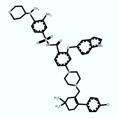 CN(c1ccc(S(=O)(=O)NC(=O)c2ccc(N3CCN(CC4=C(c5ccc(Cl)cc5)CCC(C)(C)C4)CC3)cc2Oc2ccc3[nH]ccc3c2)cc1[N+](=O)[O-])C1CCOCC1